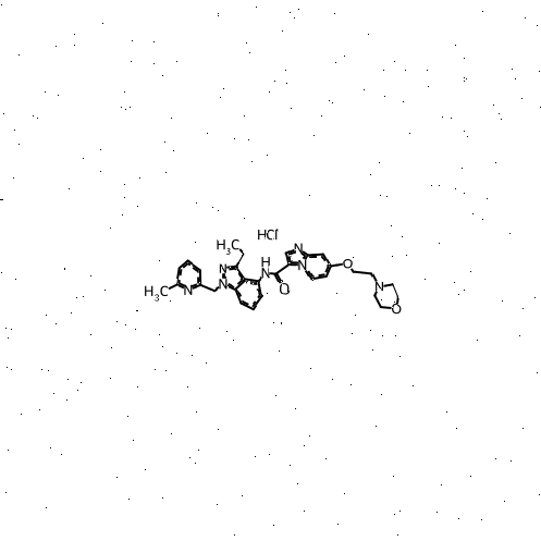 CCc1nn(Cc2cccc(C)n2)c2cccc(NC(=O)c3cnc4cc(OCCN5CCOCC5)ccn34)c12.Cl